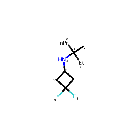 CCCC(C)(CC)NC1CC(F)(F)C1